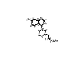 CSNCC1CCCN(c2ncnc3cc(F)ccc23)C1